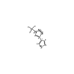 CC(C)(C)n1cc(-c2ccsc2)nn1